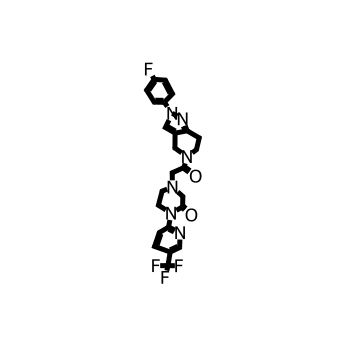 O=C(CN1CCN(c2ccc(C(F)(F)F)cn2)C(=O)C1)N1CCc2nn(-c3ccc(F)cc3)cc2C1